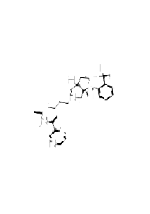 C=C(SCCCN1C[C@H]2CCN(c3ccccc3C(F)(F)F)[C@H]2C1)N(C)C(=C)c1cnccn1